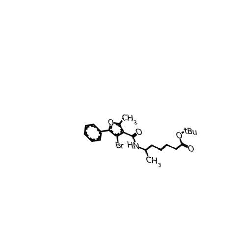 Cc1oc(-c2ccccc2)c(Br)c1C(=O)NC(C)CCCCC(=O)OC(C)(C)C